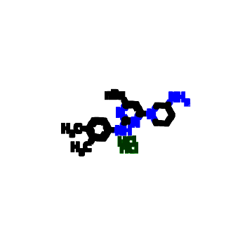 CCCCc1cc(N2CCCC(N)C2)nc(Nc2ccc(C)c(C)c2)n1.Cl.Cl